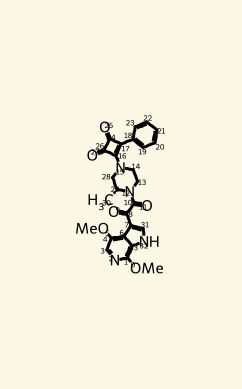 COc1ncc(OC)c2c(C(=O)C(=O)N3CCN(c4c(-c5ccccc5)c(=O)c4=O)C[C@@H]3C)c[nH]c12